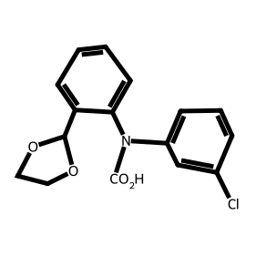 O=C(O)N(c1cccc(Cl)c1)c1ccccc1C1OCCO1